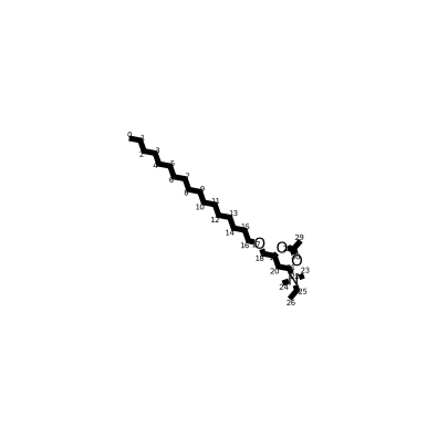 CCCCCCCCCCCCCCCCCOCC(CC[N+](C)(C)CC)OC(C)=O